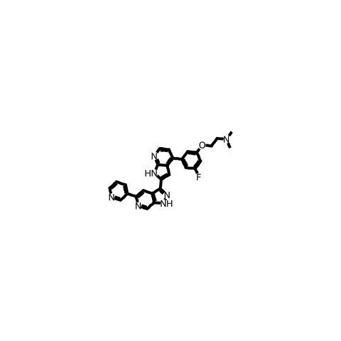 CN(C)CCOc1cc(F)cc(-c2ccnc3[nH]c(-c4n[nH]c5cnc(-c6cccnc6)cc45)cc23)c1